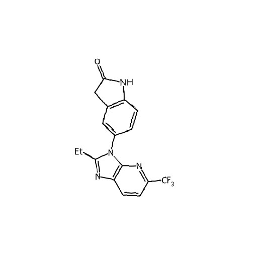 CCc1nc2ccc(C(F)(F)F)nc2n1-c1ccc2c(c1)CC(=O)N2